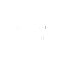 O=C(O)C(Cc1ccccc1)[C@H](O)C(=O)O